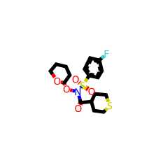 O=C(C1CCSCC1)N(OC1CCCCO1)S(=O)(=O)c1ccc(F)cc1